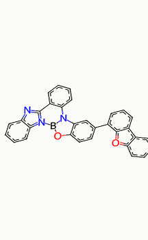 c1ccc2c(c1)-c1nc3ccccc3n1B1Oc3ccc(-c4cccc5c4oc4ccccc45)cc3N12